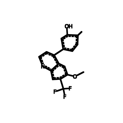 COc1cc2c(-c3ccc(C)c(O)c3)ccnc2cc1C(F)(F)F